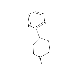 [CH2]N1CCC(c2ncccn2)CC1